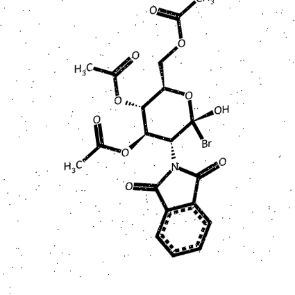 CC(=O)OC[C@H]1O[C@](O)(Br)[C@H](N2C(=O)c3ccccc3C2=O)[C@@H](OC(C)=O)[C@@H]1OC(C)=O